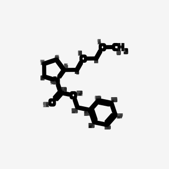 COCOCC1CCCN1C(=O)OCc1ccccc1